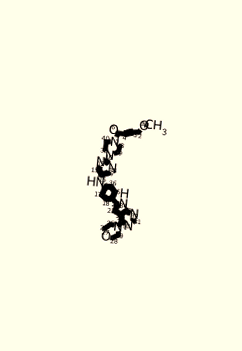 COCC#CC(=O)N1CCN(c2ncc(Nc3ccc(-c4cc5c(N6CCOCC6)ncnc5[nH]4)cc3)cn2)CC1